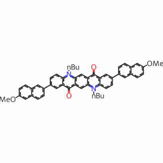 CCCCn1c2ccc(-c3ccc4cc(OC)ccc4c3)cc2c(=O)c2cc3c(cc21)c(=O)c1cc(-c2ccc4cc(OC)ccc4c2)ccc1n3CCCC